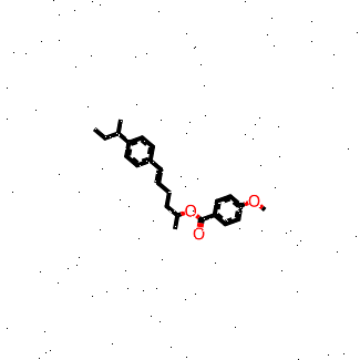 CCC(C)c1ccc(C=CCCC(C)OC(=O)c2ccc(OC)cc2)cc1